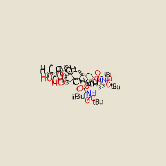 CCC(C)[C@H](NC(=O)OC(C)(C)C)C(=O)O[C@H]1CC2C3(CC[C@]4(C)[C@@H]([C@@]5(C)CC[C@@H](C(C)(C)O)O5)[C@@H](O)C[C@@]24C)C[C@@]32CC[C@H](OC(=O)[C@@H](NC(=O)OC(C)(C)C)C(C)CC)C(C)(C)[C@H]12